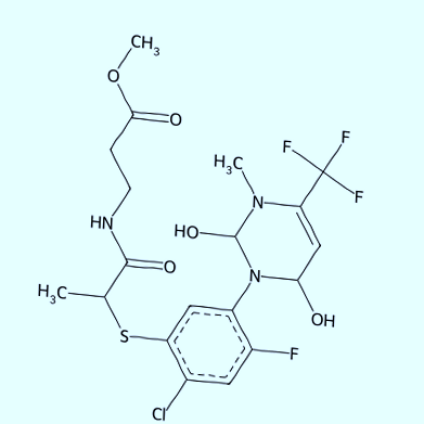 COC(=O)CCNC(=O)C(C)Sc1cc(N2C(O)C=C(C(F)(F)F)N(C)C2O)c(F)cc1Cl